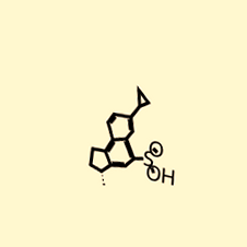 C[C@@H]1CCc2c1cc(S(=O)O)c1cc(C3CC3)ccc21